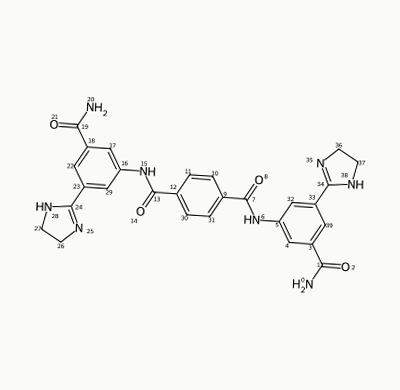 NC(=O)c1cc(NC(=O)c2ccc(C(=O)Nc3cc(C(N)=O)cc(C4=NCCN4)c3)cc2)cc(C2=NCCN2)c1